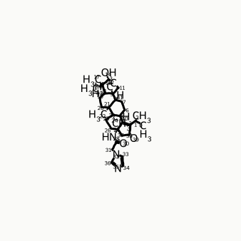 CC(C)C1=C2[C@H]3CC[C@@H]4[C@@]5(C)CC[C@H](O)C(C)(C)[C@@H]5CC[C@@]4(C)[C@]3(C)CC[C@@]2(NC(=O)Cn2ccnc2)CC1=O